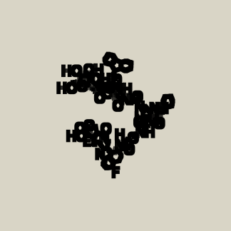 CC[C@@]1(O)C(=O)OCc2c1cc1n(c2=O)Cc2c-1nc1ccc(F)c3c1c2[C@@H](NC(=O)COCNC(=O)CNC(=O)[C@H](Cc1ccccc1)NC(=O)CNC(=O)CNC(=O)[C@H](CCC(=O)NC[C@@H]1O[C@H](CO)[C@@H](O)[C@H](O)[C@H]1O)NC(=O)OCC1c2ccccc2-c2ccccc21)CC3